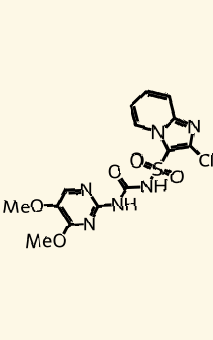 COc1cnc(NC(=O)NS(=O)(=O)c2c(Cl)nc3ccccn23)nc1OC